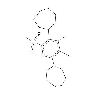 Cc1c(C2CCCCCC2)[c]c(S(C)(=O)=O)c(C2CCCCCC2)c1C